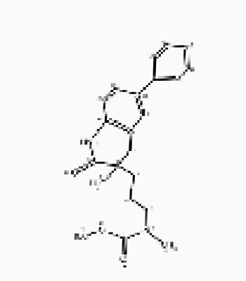 CN(CCCC1(C)Cc2cc(-c3ccccc3)ccc2NC1=O)C(=O)OC(C)(C)C